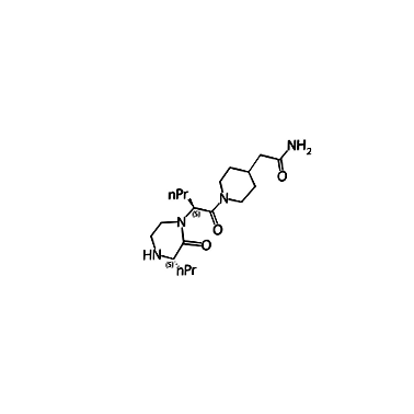 CCC[C@@H]1NCCN([C@@H](CCC)C(=O)N2CCC(CC(N)=O)CC2)C1=O